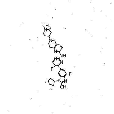 Cc1nc2c(F)cc(-c3nc(Nc4ccc5c(n4)CCN(C4CCN(C)CC4)C5)ncc3F)cc2n1C1CCCC1